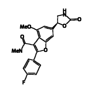 CNC(=O)c1c(-c2ccc(F)cc2)oc2cc([C@H]3CNC(=O)O3)cc(OC)c12